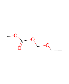 CCOCOC(=O)OC